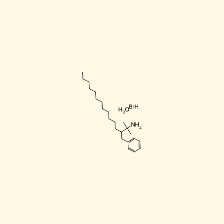 Br.CCCCCCCCCCCCC(Cc1ccccc1)C(C)(C)N.O